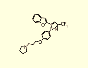 FC(F)(F)c1cc(-c2cc3ccccc3o2)n(-c2ccc(OCCCN3CCCC3)cc2)n1